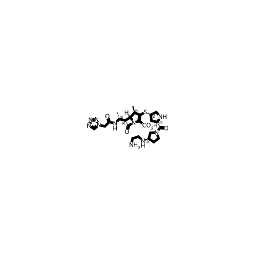 C[C@@H](NC(=O)Cn1cnnn1)[C@H]1C(=O)N2C(C(=O)O)=C(S[C@@H]3CN[C@H](C(=O)N4CC[C@@H](NCCN)C4)C3)[C@H](C)[C@H]12